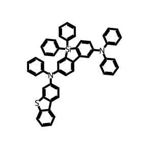 c1ccc(N(c2ccccc2)c2ccc3c(c2)-c2ccc(N(c4ccccc4)c4ccc5c(c4)sc4ccccc45)cc2[Si]3(c2ccccc2)c2ccccc2)cc1